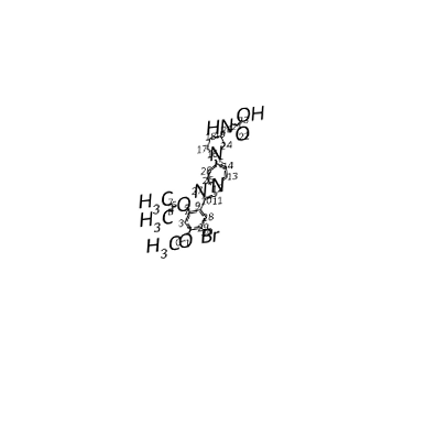 COc1cc(OC(C)C)c(-c2cn3ccc(N4CCC(NC(=O)O)C4)cc3n2)cc1Br